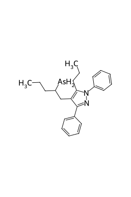 CCCc1c(CC([AsH2])CCC)c(-c2ccccc2)nn1-c1ccccc1